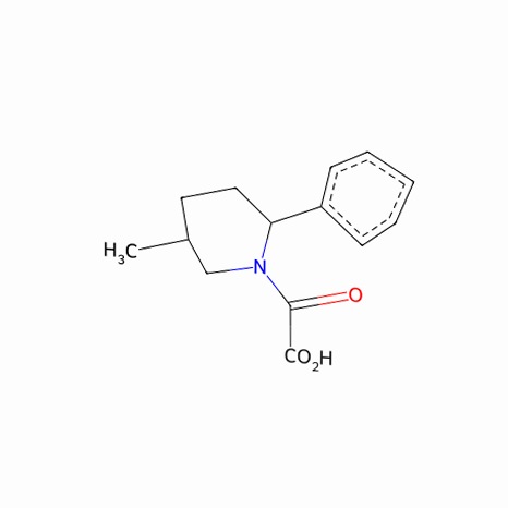 CC1CCC(c2ccccc2)N(C(=O)C(=O)O)C1